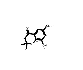 CC1(C)CC(=O)c2cc(C(=O)O)cc(O)c2O1